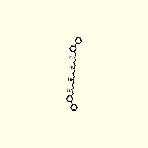 c1ccc(-c2cccc(CNCCCNCCCNCCCNCc3cccc(-c4ccccc4)c3)c2)cc1